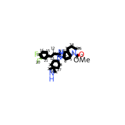 COC(=O)N1c2ccc3c(nc([C@@H](C)Cc4ccc(F)c(F)c4)n3C3CCC4(CC3)CNC4)c2CC[C@@H]1C